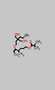 C=C(C)C(=O)OCCCC(=C)/C(=C\C)OCCC(CO)(CO)CCC(C)(C)C